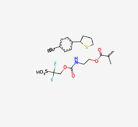 C=C(C)C(=O)OCCNC(=O)OCC(F)(F)S(=O)(=O)O.CC(C)(C)c1ccc(C2CCCS2)cc1